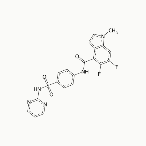 Cn1ccc2c(C(=O)Nc3ccc(S(=O)(=O)Nc4ncccn4)cc3)c(F)c(F)cc21